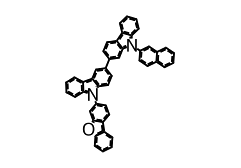 c1ccc2cc(-n3c4ccccc4c4ccc(-c5ccc6c(c5)c5ccccc5n6-c5ccc6c(c5)oc5ccccc56)cc43)ccc2c1